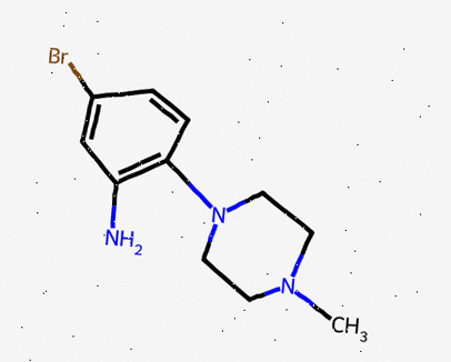 CN1CCN(c2ccc(Br)cc2N)CC1